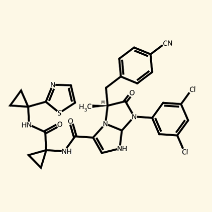 C[C@@]1(Cc2ccc(C#N)cc2)C(=O)N(c2cc(Cl)cc(Cl)c2)C2NC=C(C(=O)NC3(C(=O)NC4(c5nccs5)CC4)CC3)N21